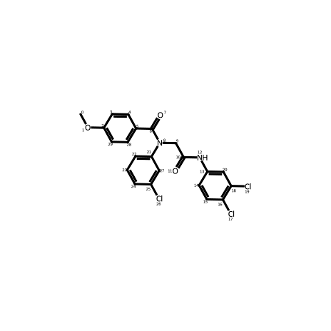 COc1ccc(C(=O)N(CC(=O)Nc2ccc(Cl)c(Cl)c2)c2cccc(Cl)c2)cc1